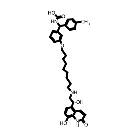 Cc1ccc(C(NC(=O)O)c2cccc(OCCCCCCCCCNC[C@H](O)c3ccc(O)c4[nH]c(=O)ccc34)c2)cc1